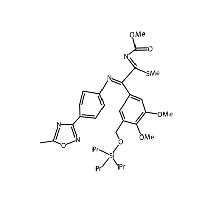 COC(=O)N=C(SC)C(=Nc1ccc(-c2noc(C)n2)cc1)c1cc(CO[Si](C(C)C)(C(C)C)C(C)C)c(OC)c(OC)c1